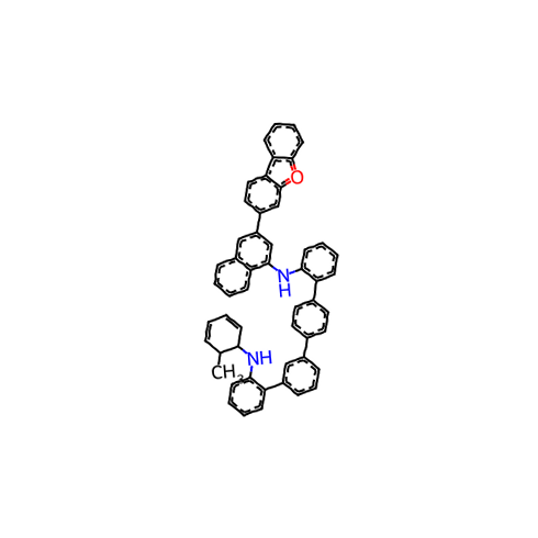 CC1C=CC=CC1Nc1ccccc1-c1cccc(-c2ccc(-c3ccccc3Nc3cc(-c4ccc5c(c4)oc4ccccc45)cc4ccccc34)cc2)c1